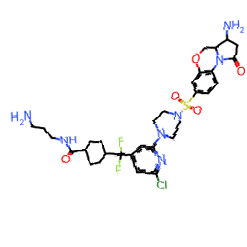 NCCCNC(=O)C1CCC(C(F)(F)c2cc(Cl)nc(N3CCN(S(=O)(=O)c4ccc5c(c4)OCC4C(N)CC(=O)N54)CC3)c2)CC1